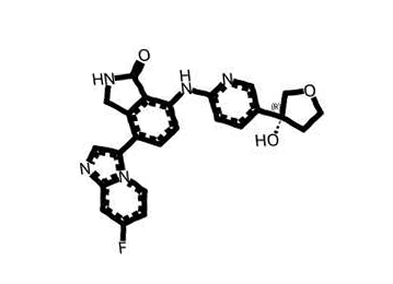 O=C1NCc2c(-c3cnc4cc(F)ccn34)ccc(Nc3ccc([C@]4(O)CCOC4)cn3)c21